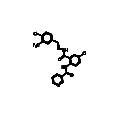 O=C(Nc1ccc(Cl)cc1C(=O)N/N=C/c1ccc(Cl)c(C(F)(F)F)c1)c1cccnc1